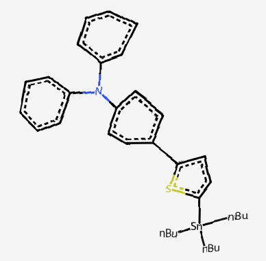 CCC[CH2][Sn]([CH2]CCC)([CH2]CCC)[c]1ccc(-c2ccc(N(c3ccccc3)c3ccccc3)cc2)s1